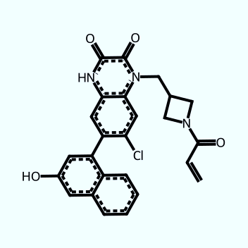 C=CC(=O)N1CC(Cn2c(=O)c(=O)[nH]c3cc(-c4cc(O)cc5ccccc45)c(Cl)cc32)C1